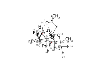 C=C(C)[CH2][Sn]([O]C(C)(C(F)(F)F)C(F)(F)F)([O]C(C)(C(F)(F)F)C(F)(F)F)[O]C(C)(C(F)(F)F)C(F)(F)F